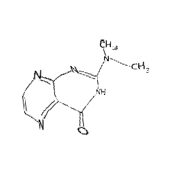 CN(C)c1nc2nccnc2c(=O)[nH]1